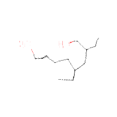 CCC(CO)CC(CC)CCCCO